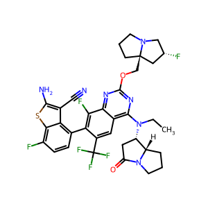 CCN(c1nc(OC[C@@]23CCCN2C[C@H](F)C3)nc2c(F)c(-c3ccc(F)c4sc(N)c(C#N)c34)c(C(F)(F)F)cc12)[C@H]1CC(=O)N2CCC[C@@H]12